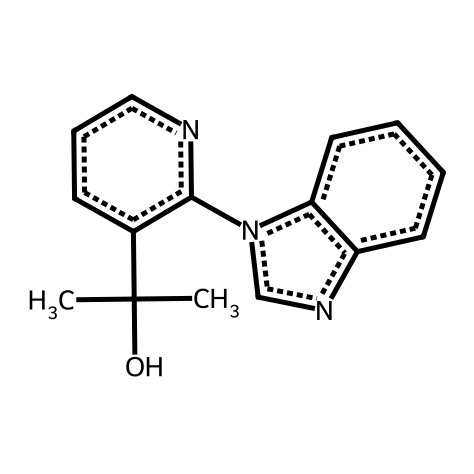 CC(C)(O)c1cccnc1-n1cnc2ccccc21